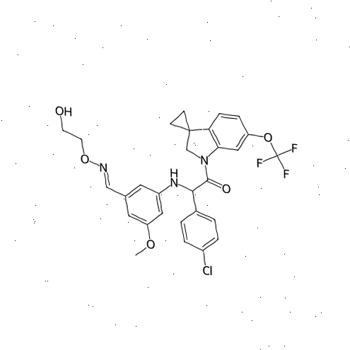 COc1cc(C=NOCCO)cc(NC(C(=O)N2CC3(CC3)c3ccc(OC(F)(F)F)cc32)c2ccc(Cl)cc2)c1